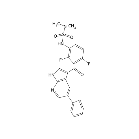 CN(C)S(=O)(=O)Nc1ccc(F)c(C(=O)c2c[nH]c3ncc(-c4ccccc4)cc23)c1F